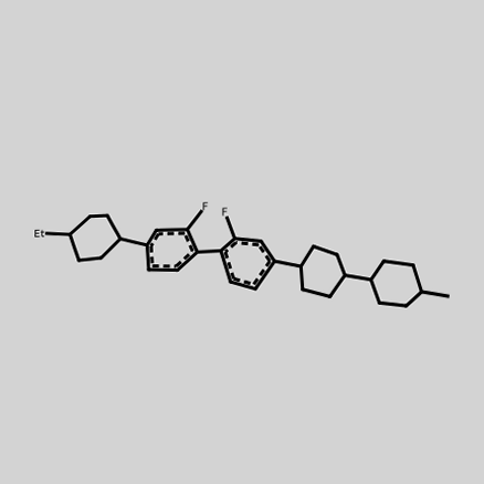 CCC1CCC(c2ccc(-c3ccc(C4CCC(C5CCC(C)CC5)CC4)cc3F)c(F)c2)CC1